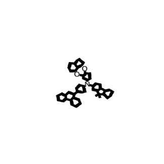 CC1(C)c2ccccc2-c2ccc(N(c3ccc(-c4cc5ccccc5c5ccccc45)cc3)c3ccc4c(c3)Oc3cccc5cccc(c35)O4)cc21